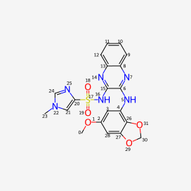 COc1cc(Nc2nc3ccccc3nc2NS(=O)(=O)c2cn(C)cn2)c2c(c1)OCO2